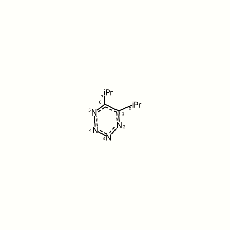 CC(C)c1nnnnc1C(C)C